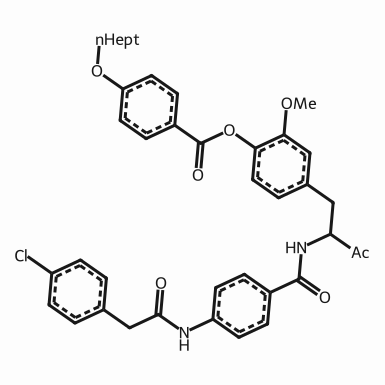 CCCCCCCOc1ccc(C(=O)Oc2ccc(CC(NC(=O)c3ccc(NC(=O)Cc4ccc(Cl)cc4)cc3)C(C)=O)cc2OC)cc1